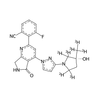 [2H]C1([2H])C[C@](O)(C([2H])([2H])[2H])C([2H])([2H])N1c1ccn(-c2cc(-c3c(F)cccc3C#N)nc3c2C(=O)NC3)n1